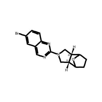 Brc1ccc2nc(N3C[C@@H]4C5CCC(O5)[C@@H]4C3)ncc2c1